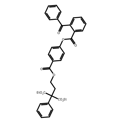 CCOC(=O)C(CCOC(=O)c1ccc(OC(=O)c2ccccc2C(=O)c2ccccc2)cc1)(C(=O)OCC)c1ccccc1